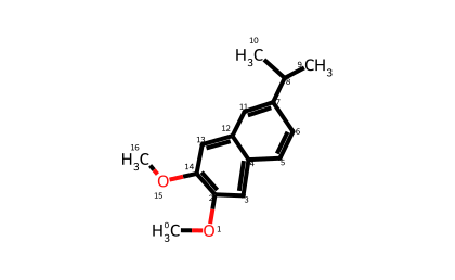 COc1cc2ccc(C(C)C)cc2cc1OC